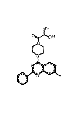 CCCC(O)C(=O)N1CCN(c2nc(-c3ccccc3)nc3cc(C)ccc23)CC1